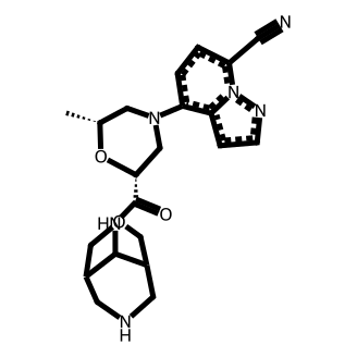 C[C@@H]1CN(c2ccc(C#N)n3nccc23)C[C@H](C(=O)NC2C3CNCC2COC3)O1